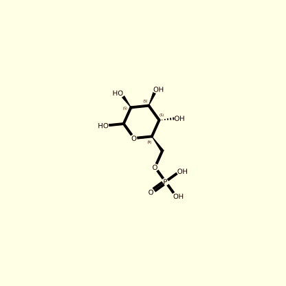 O=P(O)(O)OC[C@H]1OC(O)[C@@H](O)[C@@H](O)[C@@H]1O